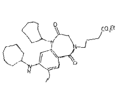 CCOC(=O)CCCN1CC(=O)N(C2CCCC2)c2cc(NC3CCCCC3)c(F)cc2C1=O